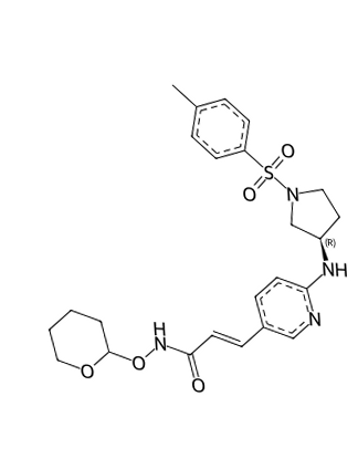 Cc1ccc(S(=O)(=O)N2CC[C@@H](Nc3ccc(C=CC(=O)NOC4CCCCO4)cn3)C2)cc1